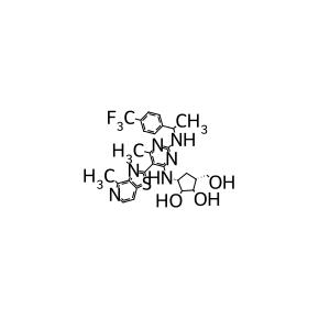 Cc1nc(N[C@H](C)c2ccc(C(F)(F)F)cc2)nc(N[C@@H]2C[C@H](CO)[C@@H](O)[C@H]2O)c1-c1nc2c(C)nccc2s1